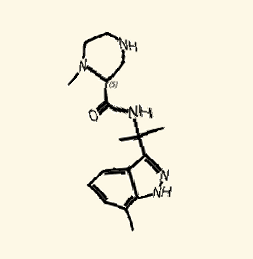 Cc1cccc2c(C(C)(C)NC(=O)[C@@H]3CNCCN3C)n[nH]c12